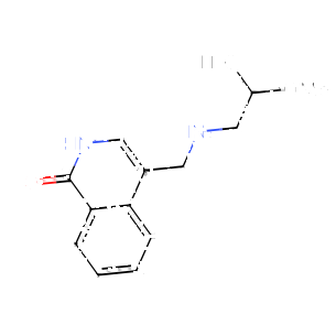 COC(C)CNCc1c[nH]c(=O)c2ccccc12